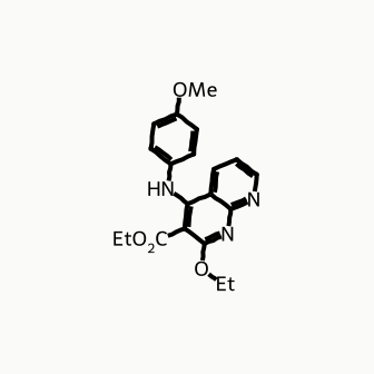 CCOC(=O)c1c(OCC)nc2ncccc2c1Nc1ccc(OC)cc1